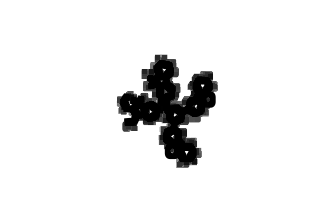 C=CC1=C(/C=C\C)C(C)(C)c2cc(N(c3cc(-c4ccc5oc6ccccc6c5c4)cc(-c4ccc5oc6ccccc6c5c4)c3)c3ccc4c(c3)C(C)(C)c3ccccc3-4)ccc21